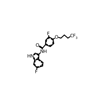 O=C(Nc1c[nH]c2cc(F)ccc12)c1ccc(OCCCC(F)(F)F)c(F)c1